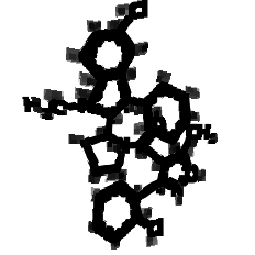 Cc1onc(-c2ccccc2Cl)c1C(=O)N1CCCC1c1c(-c2ccccc2)c2cc(Cl)ccc2n1C